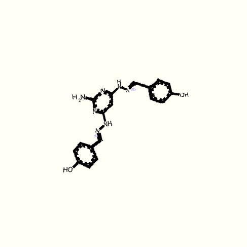 Nc1nc(N/N=C/c2ccc(O)cc2)cc(N/N=C/c2ccc(O)cc2)n1